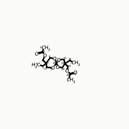 CCC1(COC(C)=O)COC2(OC1)OCC(CC)(COC(C)=O)CO2